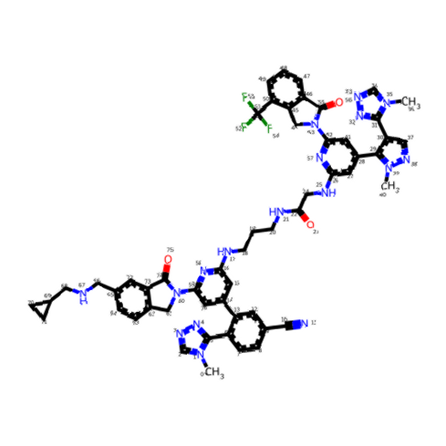 Cn1cnnc1-c1ccc(C#N)cc1-c1cc(NCCCNC(=O)CNc2cc(-c3c(-c4nncn4C)cnn3C)cc(N3Cc4c(cccc4C(F)(F)F)C3=O)n2)nc(N2Cc3ccc(CNCC4CC4)cc3C2=O)c1